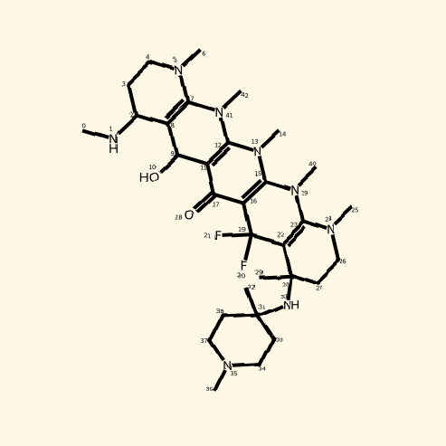 CNC1CCN(C)C2=C1C(O)c1c(n(C)c3c(c1=O)C(F)(F)C1=C(N(C)CCC1(C)NC1(C)CCN(C)CC1)N3C)N2C